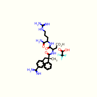 C[C@@](Cc1ccc(C(=N)N)cc1)(C(=O)NC(CC(=O)O)C(=O)NC(CCCNC(=N)N)C(N)=O)c1ccccc1.O=C(O)C(F)(F)F